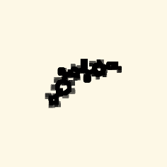 Cc1ccc(C(=O)NC2CN(C(=O)N3CCCN(C4CCC4)CC3)C2)cn1